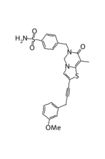 COc1cccc(CC#CC2=CN3CN(Cc4ccc(S(N)(=O)=O)cc4)C(=O)C(C)=C3S2)c1